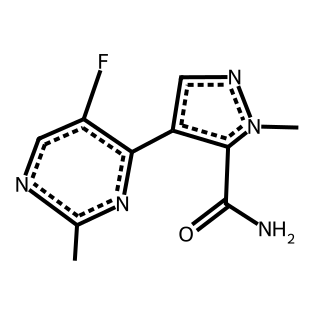 Cc1ncc(F)c(-c2cnn(C)c2C(N)=O)n1